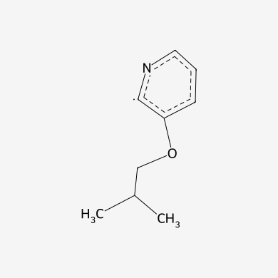 CC(C)COc1[c]nccc1